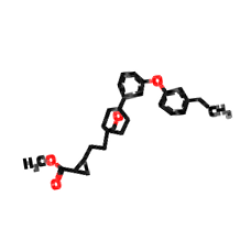 CCc1cccc(Oc2cccc(C34CCC(CCC5CC5C(=O)OC)(CC3)CO4)c2)c1